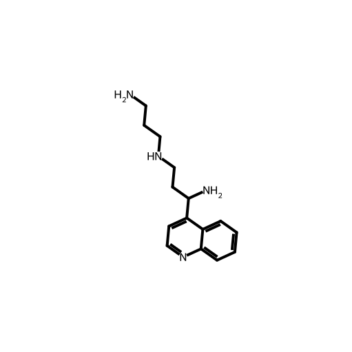 NCCCNCCC(N)c1ccnc2ccccc12